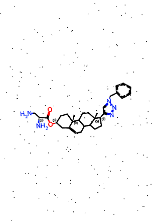 C[C@]12CC[C@H](OC(=O)[C@@H](N)CN)CC1=CCC1C2CC[C@@]2(C)C1CC[C@@H]2c1cn(Cc2ccccc2)nn1